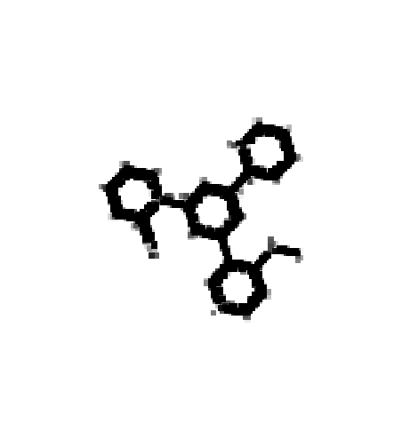 COc1ccncc1-c1cc(-c2ccccn2)cc(-n2ccccc2=O)c1